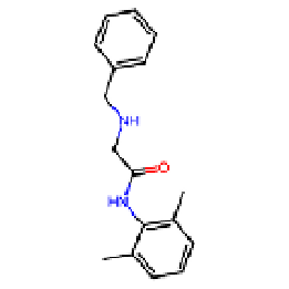 Cc1cccc(C)c1NC(=O)CNCc1ccccc1